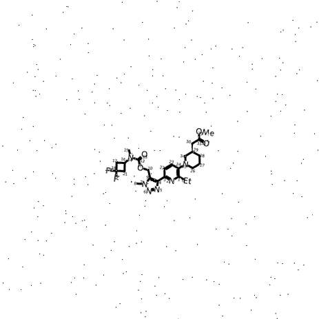 CCc1nc(-c2nnn(C)c2COC(=O)N(C)C2CC(F)(F)C2)ccc1N1CCC[C@H](CC(=O)OC)C1